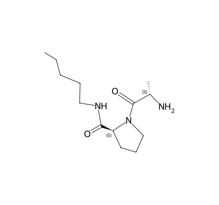 CCCCCNC(=O)[C@@H]1CCCN1C(=O)[C@H](C)N